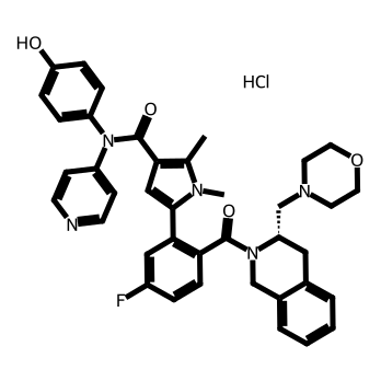 Cc1c(C(=O)N(c2ccncc2)c2ccc(O)cc2)cc(-c2cc(F)ccc2C(=O)N2Cc3ccccc3C[C@H]2CN2CCOCC2)n1C.Cl